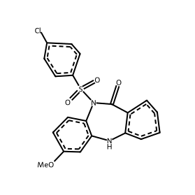 COc1ccc2c(c1)Nc1ccccc1C(=O)N2S(=O)(=O)c1ccc(Cl)cc1